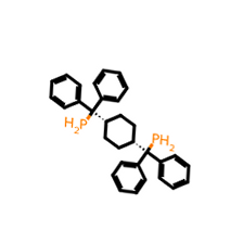 PC(c1ccccc1)(c1ccccc1)[C@H]1CC[C@@H](C(P)(c2ccccc2)c2ccccc2)CC1